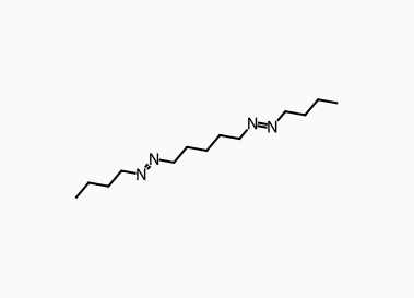 CCCC/N=N/CCCCC/N=N/CCCC